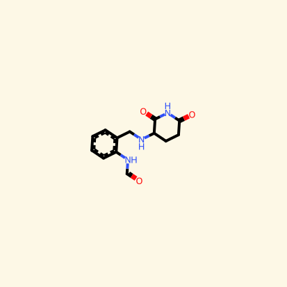 O=CNc1ccccc1CNC1CCC(=O)NC1=O